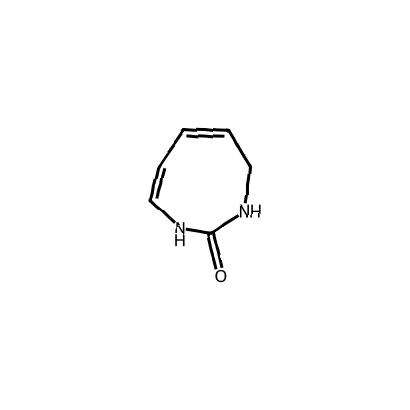 O=C1N/C=C\C=C/CN1